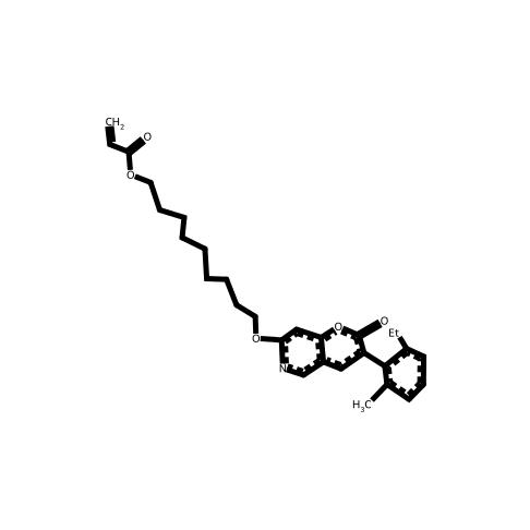 C=CC(=O)OCCCCCCCCCOc1cc2oc(=O)c(-c3c(C)cccc3CC)cc2cn1